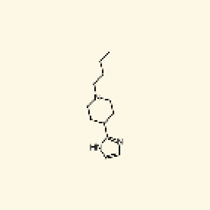 CCCCN1CCC(c2ncc[nH]2)CC1